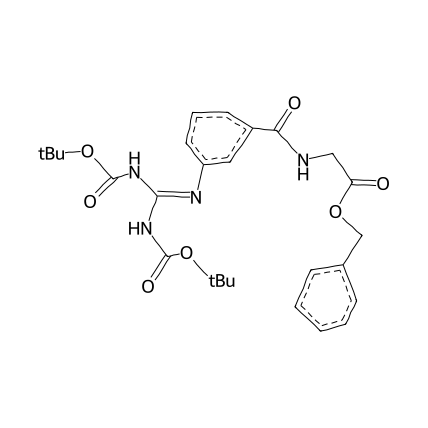 CC(C)(C)OC(=O)NC(=Nc1cccc(C(=O)NCC(=O)OCc2ccccc2)c1)NC(=O)OC(C)(C)C